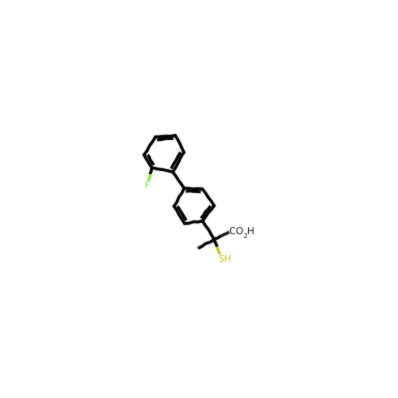 CC(S)(C(=O)O)c1ccc(-c2ccccc2F)cc1